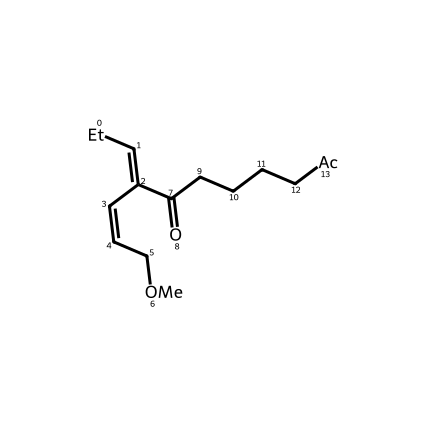 CC/C=C(\C=C/COC)C(=O)CCCCC(C)=O